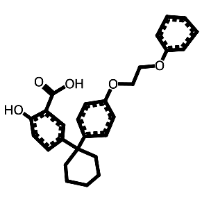 O=C(O)c1cc(C2(c3ccc(OCCOc4ccccc4)cc3)CCCCC2)ccc1O